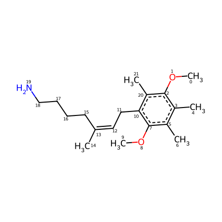 COc1c(C)c(C)c(OC)c(CC=C(C)CCCCN)c1C